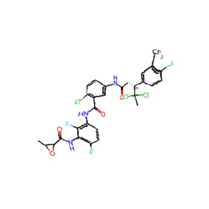 CC1OC1C(=O)Nc1c(F)ccc(NC(=O)c2cc(NC(=O)C[C@H](c3ccc(F)c(C(F)(F)F)c3)C(C)(Cl)Cl)ccc2Cl)c1F